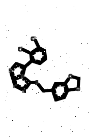 Clc1cccc(-c2csc3nnc(SCc4ccc5c(c4)OCO5)n23)c1Cl